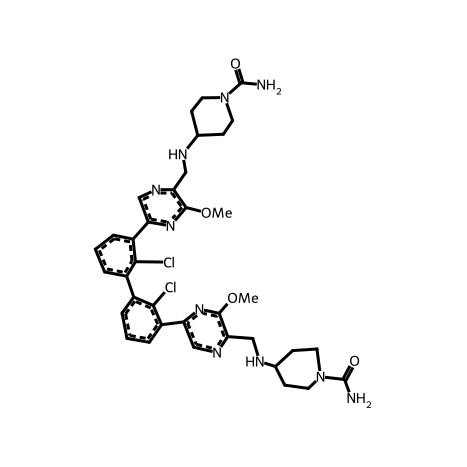 COc1nc(-c2cccc(-c3cccc(-c4cnc(CNC5CCN(C(N)=O)CC5)c(OC)n4)c3Cl)c2Cl)cnc1CNC1CCN(C(N)=O)CC1